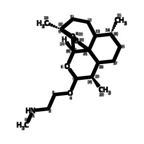 CNCCOC1O[C@@H]2O[C@]3(C)CCC4[C@H](C)CCC([C@H]1C)C42OO3